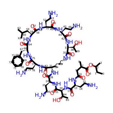 CCC(C)OC(=O)C(C)CC(=O)N[C@@H](CCN)C(=O)N[C@H](C(=O)N[C@@H](CCN)C(=O)N[C@H]1CCNC(=O)[C@H](C(C)O)NC(=O)[C@H](CCN)NC(=O)[C@H](CCN)NC(=O)[C@H](CC(C)C)NC(=O)[C@@H](Cc2ccccc2)NC(=O)[C@H](CCN)NC1=O)C(C)O